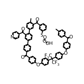 Cc1ccc(C(=O)c2ccc(Oc3ccc(C(c4ccc(Oc5ccc(C(=O)c6ccc(-c7ccc(-c8ccc(C)c(C(=O)c9cccc(SOOO)c9)c8)c(C(=O)c8ccncc8)c7)cc6)cc5)cc4)(C(F)(F)F)C(F)(F)F)cc3)cc2)cc1